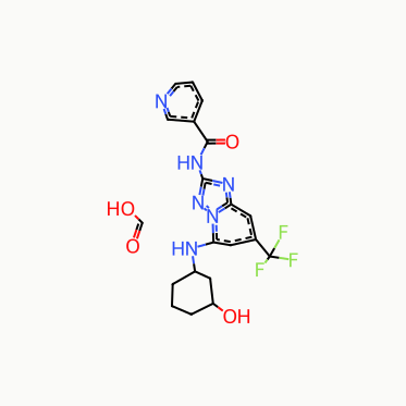 O=C(Nc1nc2cc(C(F)(F)F)cc(NC3CCCC(O)C3)n2n1)c1cccnc1.O=CO